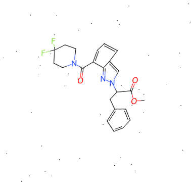 COC(=O)C(Cc1ccccc1)n1cc2cccc(C(=O)N3CCC(F)(F)CC3)c2n1